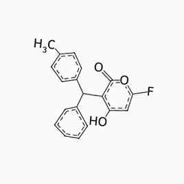 Cc1ccc(C(c2ccccc2)c2c(O)cc(F)oc2=O)cc1